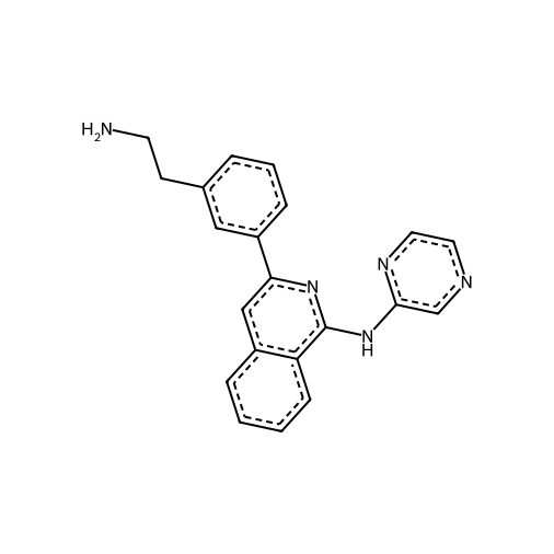 NCCc1cccc(-c2cc3ccccc3c(Nc3cnccn3)n2)c1